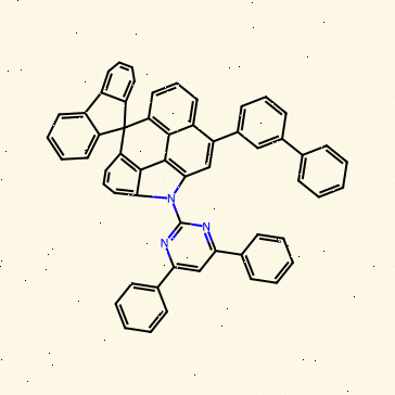 c1ccc(-c2cccc(-c3cc4c5c6c(cccc36)C3(c6ccccc6-c6ccccc63)c3cccc(c35)n4-c3nc(-c4ccccc4)cc(-c4ccccc4)n3)c2)cc1